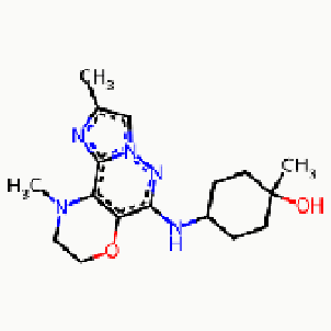 Cc1cn2nc(NC3CCC(C)(O)CC3)c3c(c2n1)N(C)CCO3